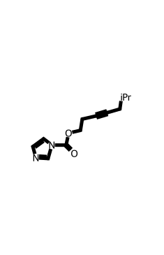 CC(C)CC#CCCOC(=O)n1ccnc1